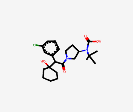 CC(C)(C)N(C(=O)O)[C@@H]1CCN(C(=O)C(c2cccc(Cl)c2)C2(O)CCCCC2)C1